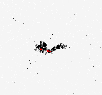 CC(C)(C)C[C@@H]1N[C@@H](C(=O)NC23CCC(C(=O)N4CCC5(CCN(c6ccc7c(c6)CN(C6CCC(=O)NC6=O)C7=O)CC5)C4)(CC2)CC3)[C@H](c2cccc(Cl)c2F)[C@]12CNc1cc(C(F)(F)F)ncc12